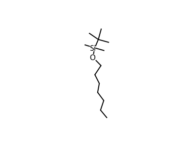 CCCCCCCO[Si](C)(C)C(C)(C)C